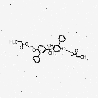 C=CC(=O)OCCOc1ccc(C(C)(C)c2ccc(OCCOC(=O)C=C)c(-c3ccccc3)c2)cc1-c1ccccc1